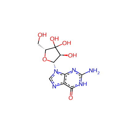 Nc1nc2c(ncn2[C@@H]2O[C@H](CO)C(O)(O)[C@H]2O)c(=O)[nH]1